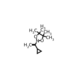 C=C(C1CC1)N1OC(C)(C)C(C)(C)O1